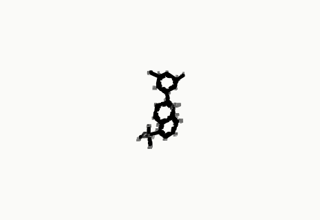 Cc1cc(C)cc(-c2ccc3[c]([Ge]([CH3])([CH3])[CH3])cccc3n2)c1